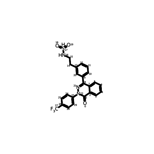 O=c1c2ccccc2c(-c2cccc(CCN[SH](=O)=O)c2)nn1-c1ccc(C(F)(F)F)cc1